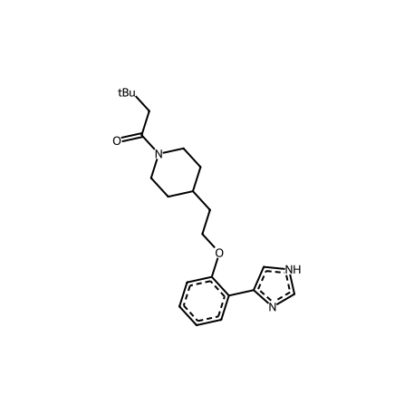 CC(C)(C)CC(=O)N1CCC(CCOc2ccccc2-c2c[nH]cn2)CC1